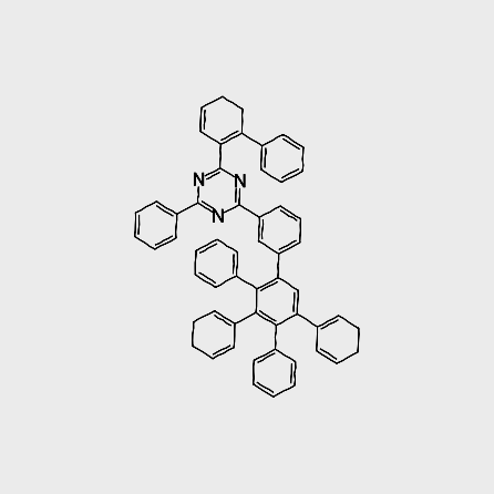 C1=CC(c2cc(-c3cccc(-c4nc(C5=C(c6ccccc6)CCC=C5)nc(-c5ccccc5)n4)c3)c(-c3ccccc3)c(C3=CCCC=C3)c2-c2ccccc2)=CCC1